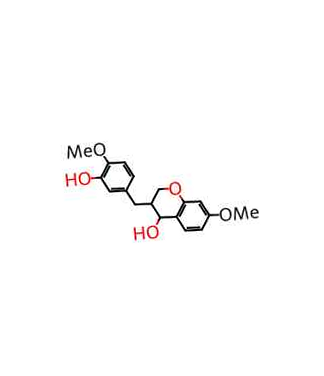 COc1ccc2c(c1)OCC(Cc1ccc(OC)c(O)c1)C2O